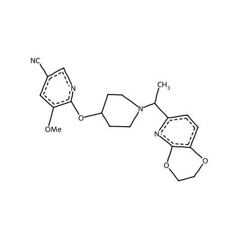 COc1cc(C#N)cnc1OC1CCN(C(C)c2ccc3c(n2)OCCO3)CC1